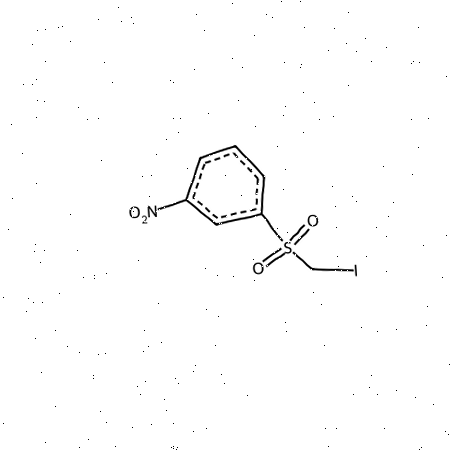 O=[N+]([O-])c1cccc(S(=O)(=O)CI)c1